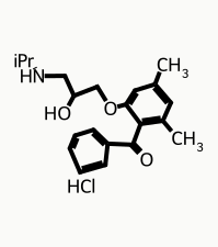 Cc1cc(C)c(C(=O)c2ccccc2)c(OCC(O)CNC(C)C)c1.Cl